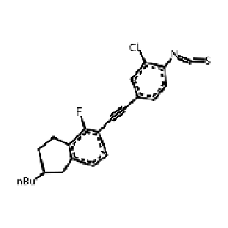 CCCCC1CCc2c(ccc(C#Cc3ccc(N=C=S)c(Cl)c3)c2F)C1